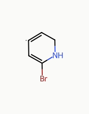 BrC1=C[C]=CCN1